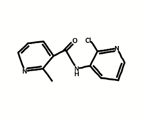 Cc1ncccc1C(=O)Nc1cccnc1Cl